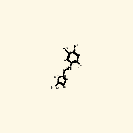 Fc1cc(F)c(NCc2ccc(Br)s2)cc1F